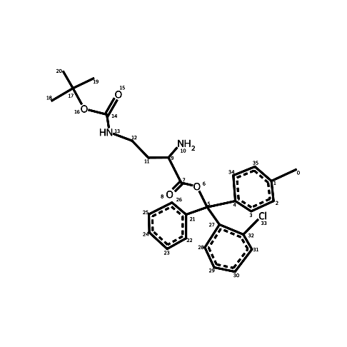 Cc1ccc(C(OC(=O)C(N)CCNC(=O)OC(C)(C)C)(c2ccccc2)c2ccccc2Cl)cc1